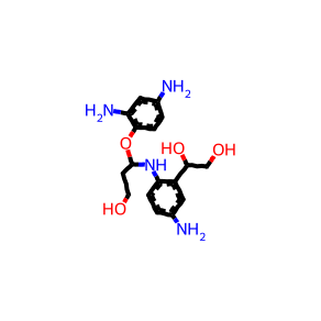 Nc1ccc(OC(CCO)Nc2ccc(N)cc2C(O)CO)c(N)c1